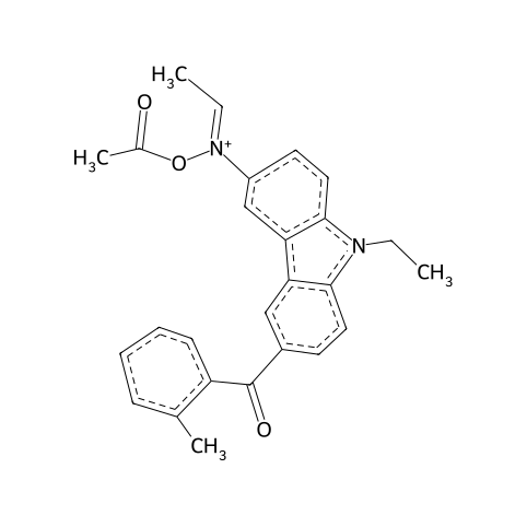 CC=[N+](OC(C)=O)c1ccc2c(c1)c1cc(C(=O)c3ccccc3C)ccc1n2CC